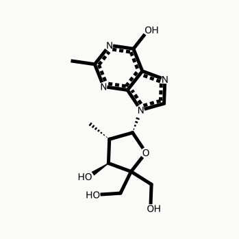 Cc1nc(O)c2ncn([C@@H]3OC(CO)(CO)[C@@H](O)[C@@H]3C)c2n1